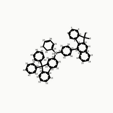 CC1(C)c2ccccc2-c2c1cc1ccccc1c2-c1ccc(N(C2=CC=CCC2)c2ccc3c(c2)C(c2ccccc2)(c2ccccc2)c2ccccc2-3)cc1